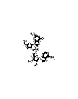 CO[C@H]1[C@H](n2cnc3c(N)ncnc32)O[C@](C)(COP(O)(=S)O[C@@H]2[C@@H](F)[C@@H](CO)S[C@H]2n2cnc3c(=O)[nH]c(N)nc32)[C@H]1O